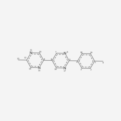 Cc1ccc(-c2ncc(-c3cnc(C)cn3)cn2)cc1